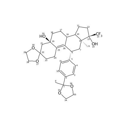 CC1(c2ccc([C@H]3C[C@@]4(C)C(CC[C@@]4(O)C(F)(F)F)C4CC[C@@]5(O)CC6(CCC5=C43)OCCO6)cc2)OCCO1